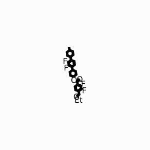 CCOCc1ccc(C(=O)OC2CCC(c3ccc(C4CCC(C)CC4)c(F)c3F)CC2)c(F)c1F